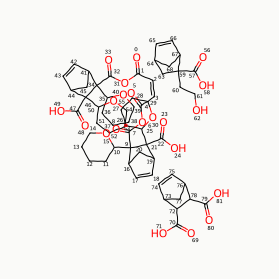 O=C(/C=C\C(=O)OC(=O)C1(C2CCCCO2)C2C=CC(C2)C1(C(=O)O)C1CCCCO1)OC(=O)C1(C2CCCCO2)C2C=CC(C2)C1(C(=O)O)C1CCCCO1.O=C(O)C1(CCO)CC2C=CC1C2.O=C(O)C1C2C=CC(C2)C1C(=O)O